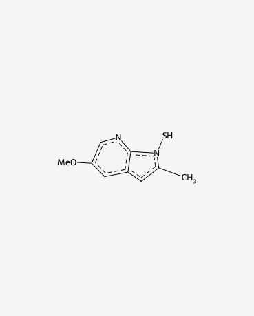 COc1cnc2c(c1)cc(C)n2S